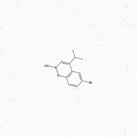 CC(C)C1=CB(O)Oc2ccc(Br)cc21